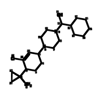 NC1(C2CCC(N3CCN(C(O)C4CCCCC4)CC3)C=C2Cl)CC1